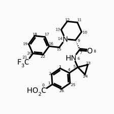 O=C(O)c1ccc(C2(NC(=O)[C@H]3CCCCN3Cc3cccc(C(F)(F)F)c3)CC2)cc1